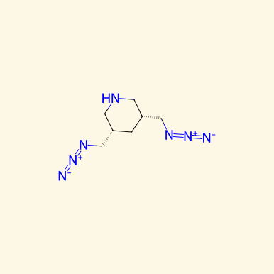 [N-]=[N+]=NC[C@@H]1CNC[C@H](CN=[N+]=[N-])C1